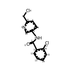 O=C(Nc1ccc(CCl)nc1)c1ccccc1Cl